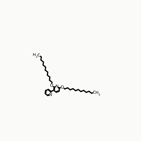 CCCCCCCCCCCCOc1ccc(-c2ccccn2)c(OCCCCCCCCCCCC)n1